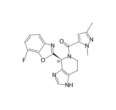 Cc1cc(C(=O)N2CCc3[nH]cnc3[C@H]2c2nc3cccc(F)c3o2)n(C)n1